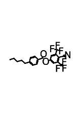 CCCCCc1ccc(C(=O)Oc2cc(C(F)(F)F)c(C#N)c(C(F)(F)F)c2)cc1